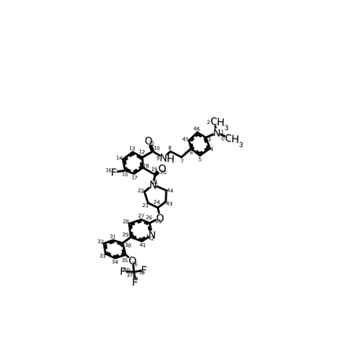 CN(C)c1ccc(CCNC(=O)c2ccc(F)cc2C(=O)N2CCC(Oc3ccc(-c4ccccc4OC(F)(F)F)cn3)CC2)cc1